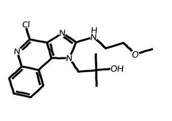 COCCNc1nc2c(Cl)nc3ccccc3c2n1CC(C)(C)O